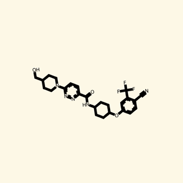 N#Cc1ccc(OC2CCC(NC(=O)c3ccc(N4CCC(CO)CC4)nn3)CC2)cc1C(F)(F)F